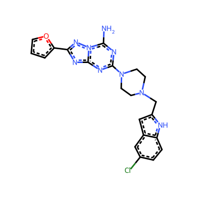 Nc1nc(N2CCN(Cc3cc4cc(Cl)ccc4[nH]3)CC2)nc2nc(-c3ccco3)nn12